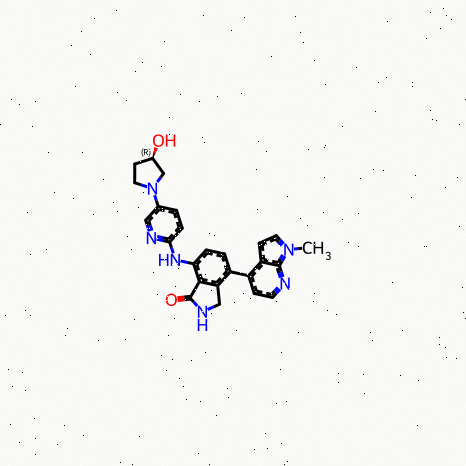 Cn1ccc2c(-c3ccc(Nc4ccc(N5CC[C@@H](O)C5)cn4)c4c3CNC4=O)ccnc21